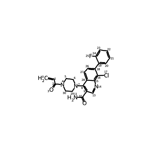 C=CC(=O)N1CCN(c2c(C(N)=O)cnc3c(Cl)c(-c4ccccc4F)ccc23)CC1